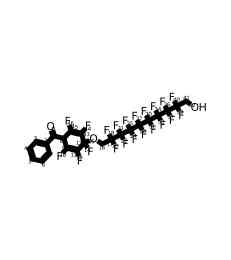 O=C(c1ccccc1)C1C(F)=C(F)C(F)(OCC(F)(F)C(F)(F)C(F)(F)C(F)(F)C(F)(F)C(F)(F)C(F)(F)C(F)(F)CO)C(F)=C1F